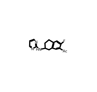 CC(=O)c1cc2c(cc1F)CCC(Nc1ncccn1)C2